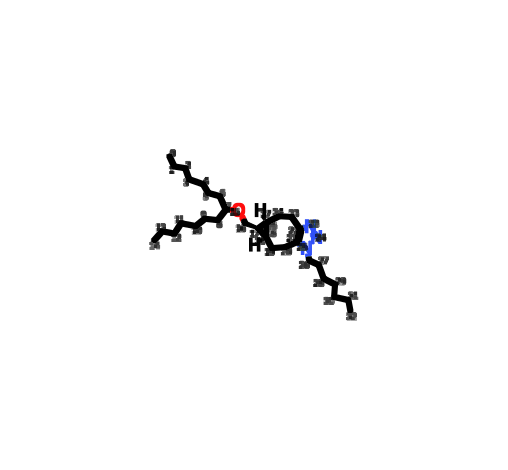 CCCCCCCC(CCCCCCC)OC[C@@H]1[C@@H]2CCc3c(nnn3CCCCCCC)CC[C@@H]21